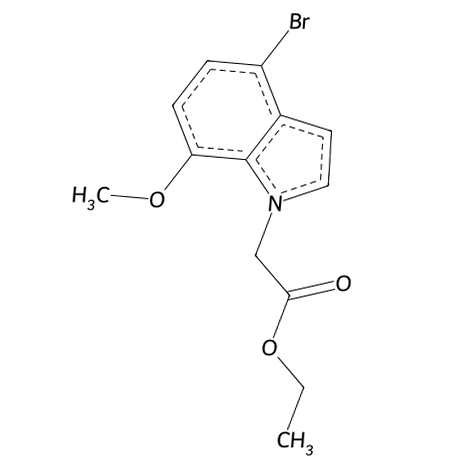 CCOC(=O)Cn1ccc2c(Br)ccc(OC)c21